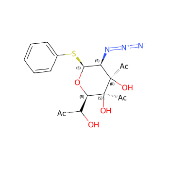 CC(=O)C(O)[C@H]1O[C@@H](Sc2ccccc2)[C@@H](N=[N+]=[N-])[C@](O)(C(C)=O)[C@]1(O)C(C)=O